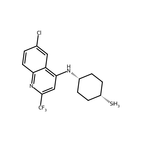 FC(F)(F)c1cc(N[C@H]2CC[C@@H]([SiH3])CC2)c2cc(Cl)ccc2n1